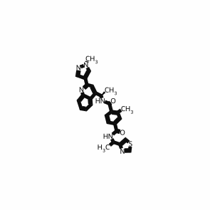 Cc1cc(C(=O)NC(C)c2cscn2)ccc1C(=O)N[C@H](C)c1cc(-c2cnn(C)c2)nc2ccccc12